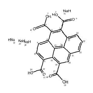 O=C(O)c1c(C(=O)O)c2ccc(C(=O)O)c3c(C(=O)O)cc4cccc1c4c23.[NaH].[NaH].[NaH].[NaH]